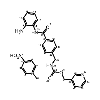 Cc1ccc(S(=O)(=O)O)cc1.Nc1ccccc1NC(=O)c1ccc(CNC(=O)OCc2cccnc2)cc1